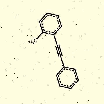 [CH2]c1ccccc1C#Cc1ccccc1